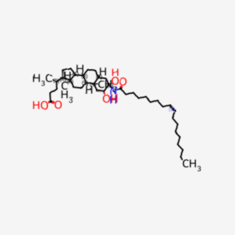 CCCCCCCC/C=C\CCCCCCCC(=O)N[C@]1(O)C[C@H]2CC[C@@H]3[C@H](CC[C@]4(C)[C@@H]([C@H](C)CCC(=O)O)CC[C@@H]34)[C@@]2(C)CC1O